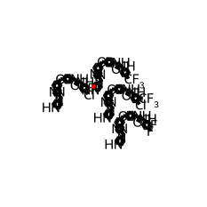 O=C(Nc1ccc(Oc2ccc3ncc(CN4CCNCC4)nc3c2)cc1)Nc1ccc(C(F)(F)F)cc1.O=C(Nc1ccc(Oc2ccc3ncc(CN4CCNCC4)nc3c2)cc1)Nc1ccc(Cl)c(C(F)(F)F)c1.O=C(Nc1ccc(Oc2ccc3ncc(CN4CCNCC4)nc3c2)cc1)Nc1ccc(Cl)c(F)c1.O=C(Nc1ccc(Oc2ccc3ncc(CN4CCNCC4)nc3c2)cc1)Nc1ccc(F)c(F)c1